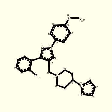 Fc1ccccc1-c1nn(-c2ccc(OC(F)(F)F)cc2)cc1CN1CCC(n2cccn2)CC1